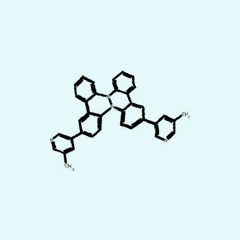 Cc1cncc(-c2ccc3c(c2)-c2ccccc2B2c4ccccc4-c4cc(-c5cncc(C)c5)ccc4N23)c1